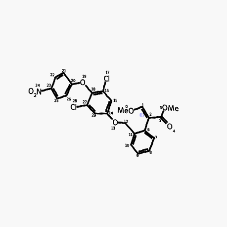 CO/C=C(/C(=O)OC)c1ccccc1COc1cc(Cl)c(Oc2ccc([N+](=O)[O-])cc2)c(Cl)c1